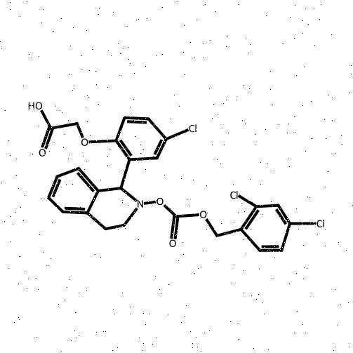 O=C(O)COc1ccc(Cl)cc1C1c2ccccc2CCN1OC(=O)OCc1ccc(Cl)cc1Cl